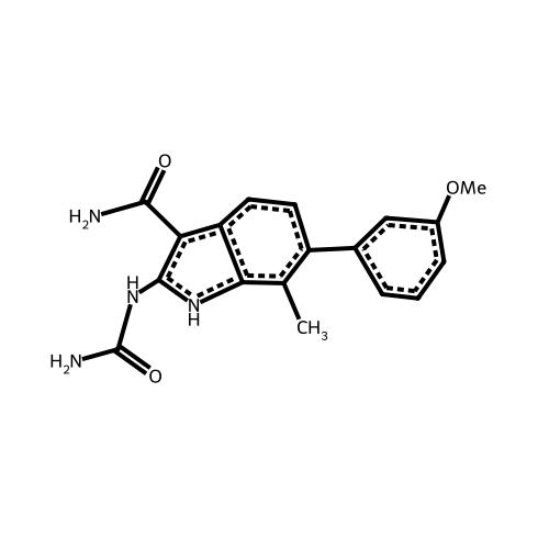 COc1cccc(-c2ccc3c(C(N)=O)c(NC(N)=O)[nH]c3c2C)c1